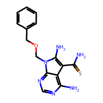 NC(=S)c1c(N)n(COCc2ccccc2)c2ncnc(N)c12